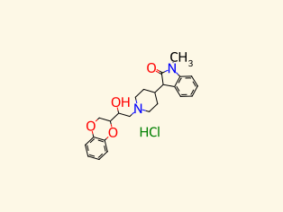 CN1C(=O)C(C2CCN(CC(O)C3COc4ccccc4O3)CC2)c2ccccc21.Cl